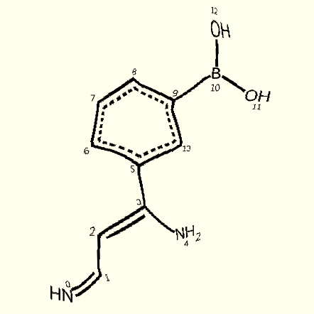 N=C/C=C(\N)c1cccc(B(O)O)c1